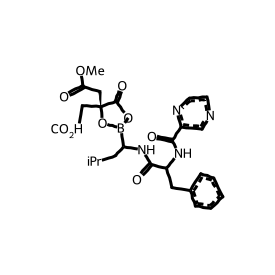 COC(=O)C[C@]1(CC(=O)O)OB(C(CC(C)C)NC(=O)C(Cc2ccccc2)NC(=O)c2cnccn2)OC1=O